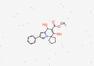 COC(=O)C1=C(O)C2(CCCC2)n2cc(-c3ccccc3)cc2C1O